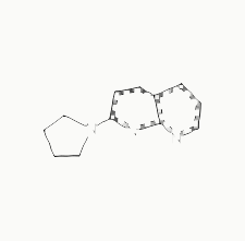 c1cnc2nc(N3CCCC3)ccc2c1